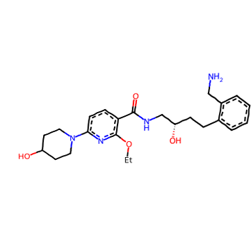 CCOc1nc(N2CCC(O)CC2)ccc1C(=O)NC[C@@H](O)CCc1ccccc1CN